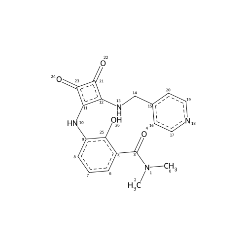 CN(C)C(=O)c1cccc(Nc2c(NCc3ccncc3)c(=O)c2=O)c1O